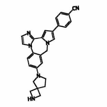 N#Cc1ccc(-c2cc3n(c2)Cc2cc(N4CCC5(CNC5)C4)ccc2-n2ccnc2-3)cc1